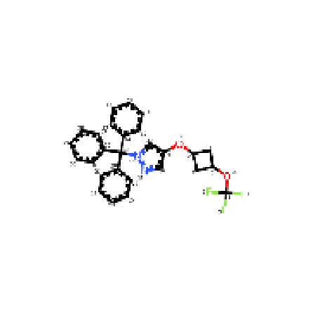 FC(F)(F)OC1CC(Oc2cnn(C(c3ccccc3)(c3ccccc3)c3ccccc3)c2)C1